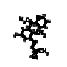 CCN(C)/C=N/c1cc(F)cc(N(C)c2ccccn2)c1C